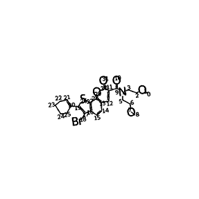 COCCN(CCOC)C(=O)c1cc2ccc3c(Br)c(C4=CCCCC4)sc3c2oc1=O